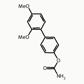 COc1ccc(-c2ccc(OC(N)=O)cc2)c(OC)c1